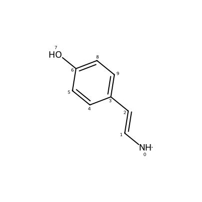 [NH]C=Cc1ccc(O)cc1